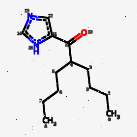 CCCCC(CCCC)C(=O)c1cnc[nH]1